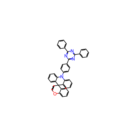 c1ccc(-c2nc(-c3ccccc3)nc(-c3ccc(N4c5ccccc5C5(c6ccccc6Oc6ccccc65)c5ccccc54)cc3)n2)cc1